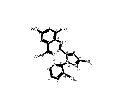 CNC(=O)c1cc(C#N)cc(C)c1/N=C/c1cc(Br)nn1-c1ncccc1Cl